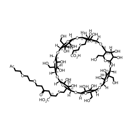 CN[C@H](CSCC1O[C@H]2O[C@@H]3C(CO)O[C@H](O[C@@H]4C(CO)O[C@H](O[C@@H]5C(CO)O[C@@H](O[C@@H]6C(CSC[C@@H](CC(=O)CCOCCOCCC(C)=O)C(=O)O)O[C@H](O[C@@H]7C(CO)O[C@@H](O[C@@H]8C(CO)O[C@@H](O[C@H]1[C@H](O)C2O)C(O)[C@@H]8O)C(O)[C@H]7O)C(O)[C@H]6O)C(O)[C@H]5O)C(O)[C@H]4O)C(O)[C@H]3O)C(=O)O